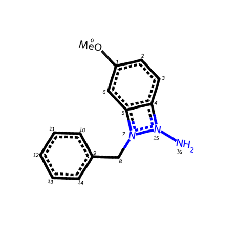 COc1ccc2c(c1)n(Cc1ccccc1)n2N